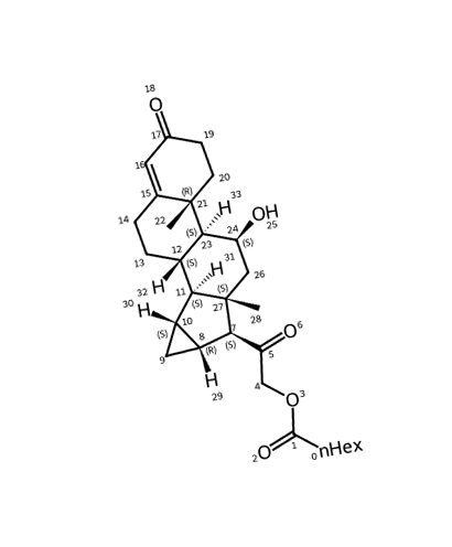 CCCCCCC(=O)OCC(=O)[C@H]1[C@@H]2C[C@@H]2[C@H]2[C@@H]3CCC4=CC(=O)CC[C@]4(C)[C@H]3[C@@H](O)C[C@@]21C